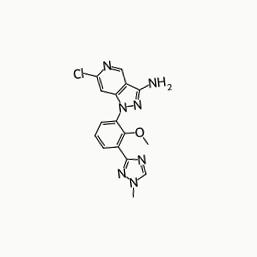 COc1c(-c2ncn(C)n2)cccc1-n1nc(N)c2cnc(Cl)cc21